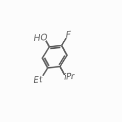 CCc1cc(O)c(F)cc1C(C)C